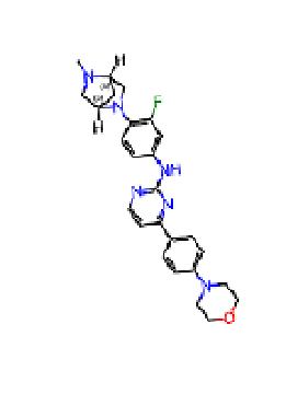 CN1C[C@@H]2C[C@H]1CN2c1ccc(Nc2nccc(-c3ccc(N4CCOCC4)cc3)n2)cc1F